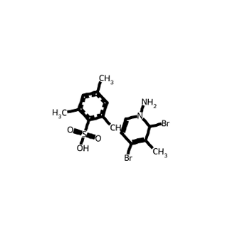 CC1=C(Br)C=CN(N)C1Br.Cc1cc(C)c(S(=O)(=O)O)c(C)c1